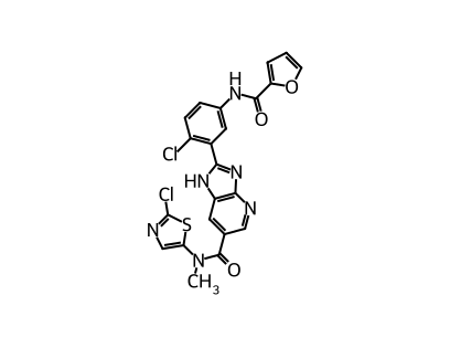 CN(C(=O)c1cnc2nc(-c3cc(NC(=O)c4ccco4)ccc3Cl)[nH]c2c1)c1cnc(Cl)s1